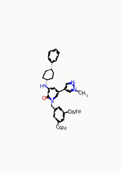 COc1cc(Cn2cc(-c3cnn(C)c3)cc(N[C@H]3CC[C@@H](c4ccccc4)CC3)c2=O)cc(OC)c1